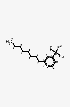 CCCCCCCCc1cc(C(F)(F)F)ccn1